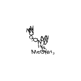 CO[C@H]1CN(Cc2ccn3ncnc(Nc4ccc(Oc5ccn6ncnc6c5)c(C)c4)c23)CC[C@@H]1N